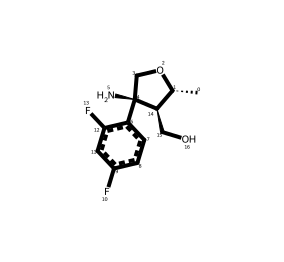 C[C@H]1OC[C@@](N)(c2ccc(F)cc2F)[C@@H]1CO